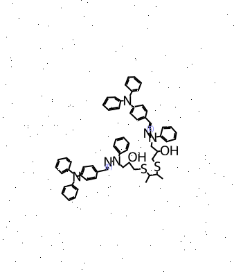 CC(SCC(O)CN(/N=C/c1ccc(N(c2ccccc2)c2ccccc2)cc1)c1ccccc1)C(C)SCC(O)CN(/N=C/c1ccc(N(c2ccccc2)c2ccccc2)cc1)c1ccccc1